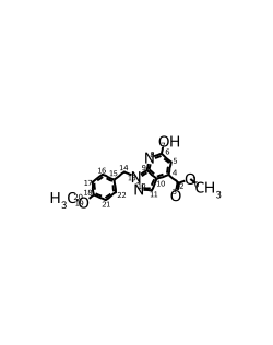 COC(=O)c1cc(O)nc2c1cnn2Cc1ccc(OC)cc1